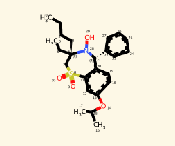 CCCC[C@]1(CC)CS(=O)(=O)c2cc(OC(C)C)ccc2[C@@H](c2ccccc2)N1O